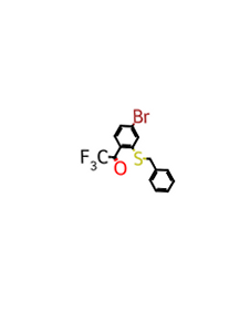 O=C(c1ccc(Br)cc1SCc1ccccc1)C(F)(F)F